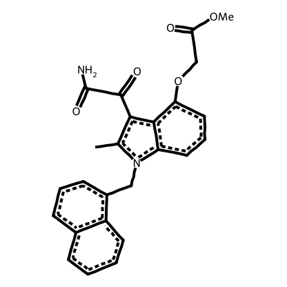 COC(=O)COc1cccc2c1c(C(=O)C(N)=O)c(C)n2Cc1cccc2ccccc12